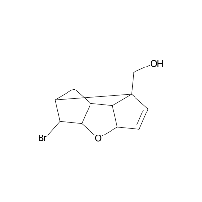 OCC12C=CC3OC4C(Br)C1CC4C32